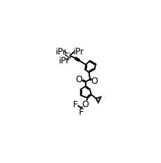 CC(C)[Si](C#Cc1cccc(C(=O)C(=O)c2ccc(OC(F)F)c(C3CC3)c2)c1)(C(C)C)C(C)C